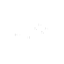 CC(C)/N=C1/CCC2C(CCCC2(C)C)N1C(C)C